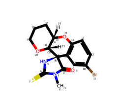 CN1C(=O)[C@@]2(NC1=S)c1cc(Br)ccc1O[C@H]1CCCO[C@H]12